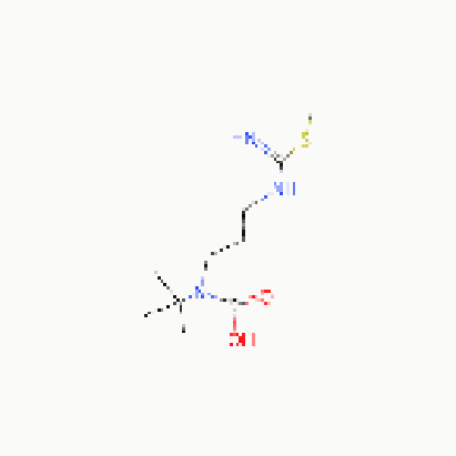 CSC(=N)NCCCN(C(=O)O)C(C)(C)C